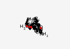 C[C@H](Oc1ncc(CCCN)o1)c1cccc2c(-c3ccc(CS(C)(=O)=O)c(F)c3)c(C(=O)OC(=O)c3[nH]c4c([C@H](C)N5CC6(CCC(N)CC6)OC5=O)cccc4c3-c3ccc(CS(C)(=O)=O)c(F)c3)[nH]c12